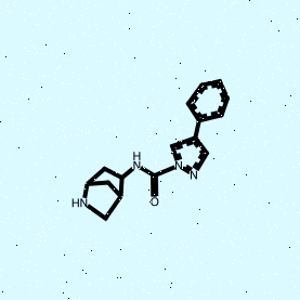 O=C(NC1CC2CC1CN2)n1cc(-c2ccccc2)cn1